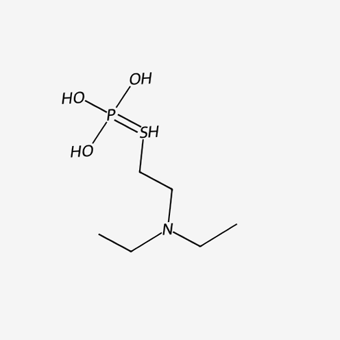 CCN(CC)CC[SH]=P(O)(O)O